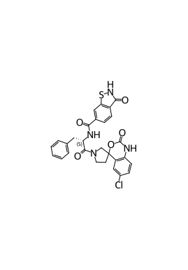 O=C1Nc2ccc(Cl)cc2C2(CCN(C(=O)[C@H](Cc3ccccc3)NC(=O)c3ccc4c(=O)[nH]sc4c3)C2)O1